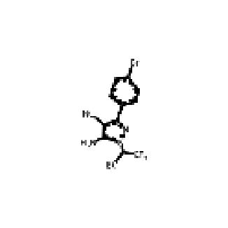 CCC(n1nc(-c2ccc(Br)cc2)c(C#N)c1N)C(F)(F)F